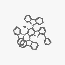 N#Cc1c(-n2c3ccccc3c3ccccc32)c(-n2c3ccccc3c3ccccc32)c2oc3c(-c4ccccc4)cccc3c2c1-n1c2ccccc2c2ccccc21